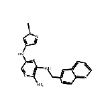 Cn1cc(Nc2cnc(N)c(NCc3ccc4ncccc4c3)n2)cn1